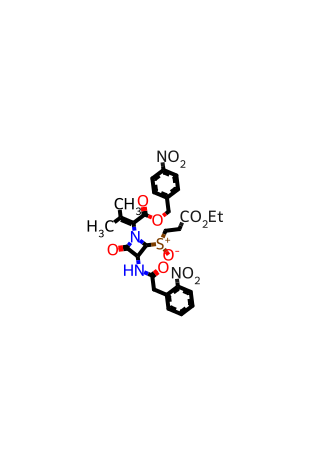 CCOC(=O)CC[S+]([O-])C1C(NC(=O)Cc2ccccc2[N+](=O)[O-])C(=O)N1C(C(=O)OCc1ccc([N+](=O)[O-])cc1)=C(C)C